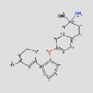 CCC1=CCCC(c2ccccc2OC2=CC=C3CCC(N)(C=O)CC3C2)=C1